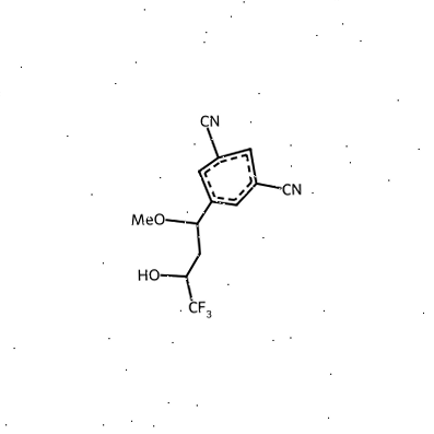 COC(CC(O)C(F)(F)F)c1cc(C#N)cc(C#N)c1